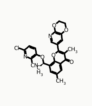 Cc1cc([C@@H](C)Oc2ccc(Cl)nc2C#N)c2oc(-c3cnc4c(c3)OCCO4)c(C)c(=O)c2c1